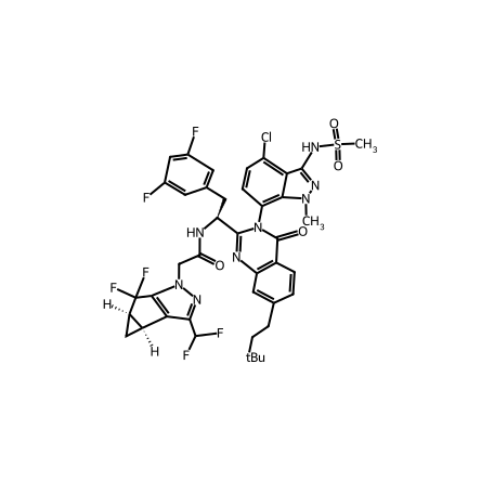 Cn1nc(NS(C)(=O)=O)c2c(Cl)ccc(-n3c([C@H](Cc4cc(F)cc(F)c4)NC(=O)Cn4nc(C(F)F)c5c4C(F)(F)[C@@H]4C[C@H]54)nc4cc(CCC(C)(C)C)ccc4c3=O)c21